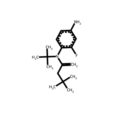 C=C(CC(C)(C)C)N(c1ccc(N)cc1F)C(C)(C)C